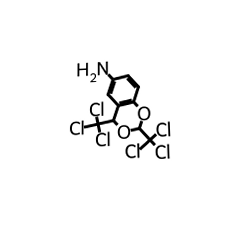 Nc1ccc2c(c1)C(C(Cl)(Cl)Cl)OC(C(Cl)(Cl)Cl)O2